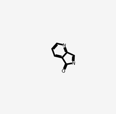 O=C1N=Cc2ncccc21